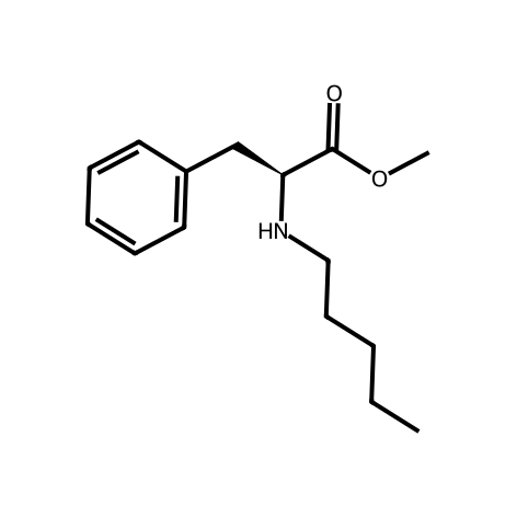 CCCCCN[C@@H](Cc1ccccc1)C(=O)OC